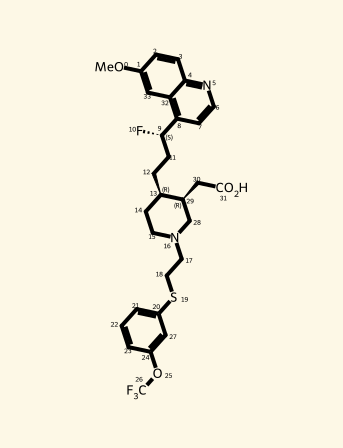 COc1ccc2nccc([C@@H](F)CC[C@@H]3CCN(CCSc4cccc(OC(F)(F)F)c4)C[C@@H]3CC(=O)O)c2c1